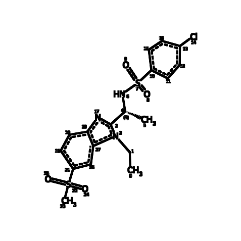 CCn1c([C@@H](C)NS(=O)(=O)c2ccc(Cl)cc2)nc2ccc(S(C)(=O)=O)cc21